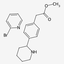 Brc1ccccn1.COC(=O)Cc1ccc(C2CCCCN2)cc1